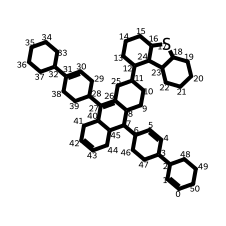 C1=CC(C2C=CC(C3C4CCC(C5CCCC6SC7CCCCC7C65)CC4=C(C4CC=C(C5CCCCC5)CC4)C4CC=CCC43)CC2)CCC1